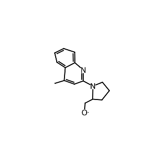 Cc1cc(N2CCCC2C[O])nc2ccccc12